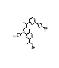 CNC1CN(c2cccc(C(C)CCN(c3nc(C(C)SS)ccc3C)C3CNC3)n2)C1